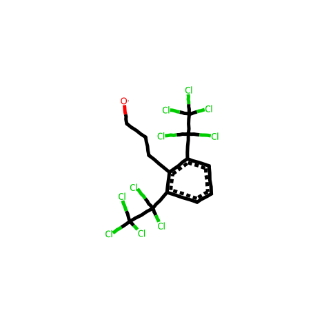 [O]CCCc1c(C(Cl)(Cl)C(Cl)(Cl)Cl)cccc1C(Cl)(Cl)C(Cl)(Cl)Cl